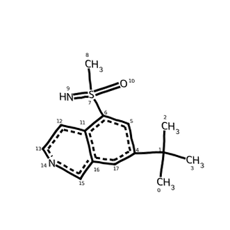 CC(C)(C)c1cc(S(C)(=N)=O)c2ccncc2c1